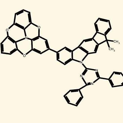 CC1(C)c2ccccc2-c2cc3c4cc(-c5cc6c7c(c5)Oc5cccc8c5N7c5c(cccc5O6)O8)ccc4n(-c4nc(-c5ccccc5)nc(-c5ccccc5)n4)c3cc21